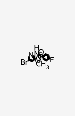 COc1cc(Br)cnc1NS(=O)(=O)c1ccc(F)cc1